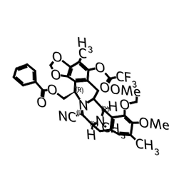 COCOc1c(OC)c(C)cc2c1[C@@H]1C3Cc4c(OC(=O)C(F)(F)F)c(C)c5c(c4[C@H](COC(=O)c4ccccc4)N3[C@@H](C#N)[C@@H](C2)N1C)OCO5